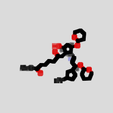 CCCC1CCC([C@@H](/C=C/[C@@H]2[C@@H](CC(=O)CCCCC(=O)OC)[C@@H](O)C[C@H]2OC2CCCCO2)OC2CCCCO2)C1